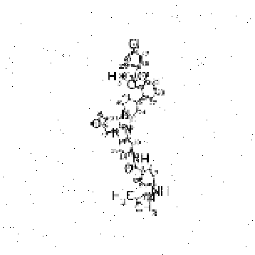 C=C(C)c1n[nH]c2ccc(C(=O)Nc3ccc4c(c3)nc(CN3CC=C(c5cccc6c5OC(C)(c5ccc(Cl)cc5F)O6)CC3)n4C[C@@H]3CCO3)cc12